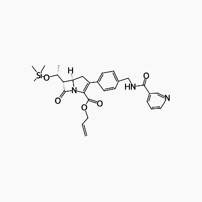 C=CCOC(=O)C1=C(c2ccc(CNC(=O)c3cccnc3)cc2)C[C@@H]2[C@@H]([C@@H](C)O[Si](C)(C)C)C(=O)N12